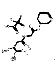 C=C(C[C@H](OC)[C@H](C)CCCC)NCC(=O)O[C@@H]1CCCOC1.O=C(O)C(F)(F)F